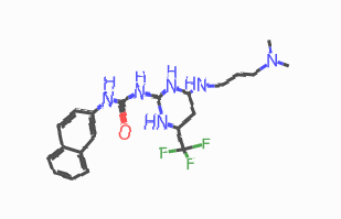 CN(C)CCCNC1CC(C(F)(F)F)NC(NC(=O)Nc2ccc3ccccc3c2)N1